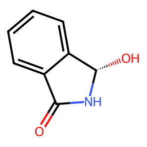 O=C1N[C@@H](O)c2ccccc21